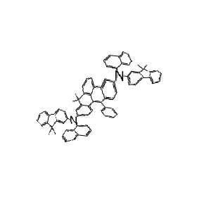 CC1(C)c2ccccc2-c2ccc(N(c3ccc4c(c3)C(C)(C)c3cccc5c3c-4c(-c3ccccc3)c3ccc(N(c4ccc6c(c4)C(C)(C)c4ccccc4-6)c4cccc6ccccc46)cc35)c3cccc4ccccc34)cc21